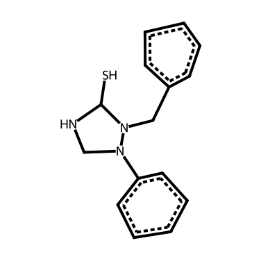 SC1NCN(c2ccccc2)N1Cc1ccccc1